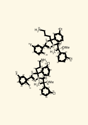 CCc1cccc(C2(CCCN)SC(c3cc(F)ccc3F)=NN2C(=O)[C@@](C)(OC)c2cccc(CC)c2)c1.CO[C@@](C)(C(=O)N1N=C(c2cc(F)ccc2F)SC1(CCCN)c1cccc(Cl)c1)c1cccc(Cl)c1